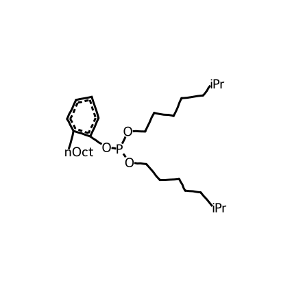 CCCCCCCCc1ccccc1OP(OCCCCCC(C)C)OCCCCCC(C)C